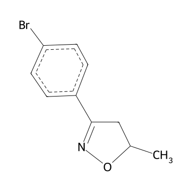 CC1CC(c2ccc(Br)cc2)=NO1